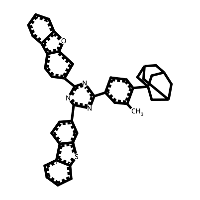 Cc1cc(-c2nc(-c3ccc4c(c3)oc3ccccc34)nc(-c3ccc4c(c3)sc3ccccc34)n2)ccc1C12CC3CC(CC(C3)C1)C2